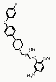 COc1ccc(N)cc1OC[C@@H](O)CN1CCC(c2ccc(Oc3ccc(F)cc3)cc2)CC1